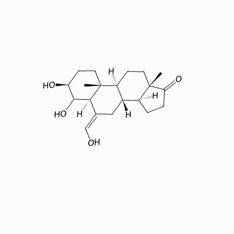 C[C@]12CC[C@H](O)C(O)[C@@H]1/C(=C/O)C[C@@H]1[C@@H]2CC[C@]2(C)C(=O)CC[C@@H]12